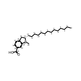 CCCCCCCCCCCCCC[C@H]1Cc2ccc(C(=O)O)cc2N1C